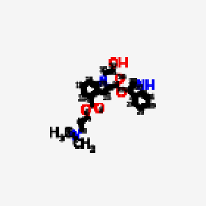 CN(C)CCCOC(=O)c1cccc2c1[c]c(C(=O)Oc1c[nH]c3ccccc13)n2CCO